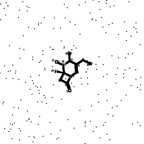 O=C1C[C@H]2N1C=C(CBr)C(Br)[S+]2[O-]